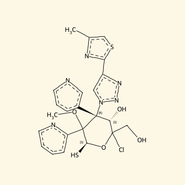 COC1(c2ccccn2)[C@H](S)OC(Cl)(CO)[C@@H](O)[C@@]1(c1cccnc1)n1cc(-c2nc(C)cs2)nn1